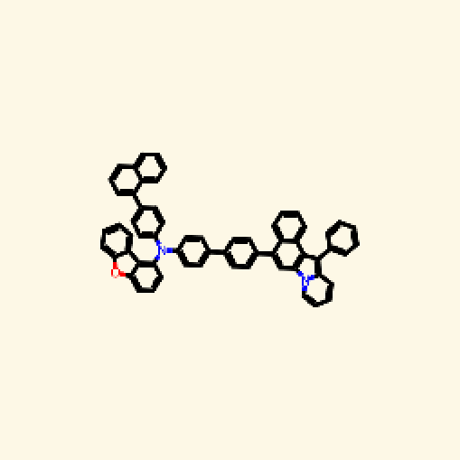 c1ccc(-c2c3c4ccccc4c(-c4ccc(-c5ccc(N(c6ccc(-c7cccc8ccccc78)cc6)c6cccc7oc8ccccc8c67)cc5)cc4)cc3n3ccccc23)cc1